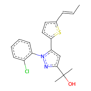 CC=Cc1ccc(-c2cc(C(C)(C)O)nn2-c2ccccc2Cl)s1